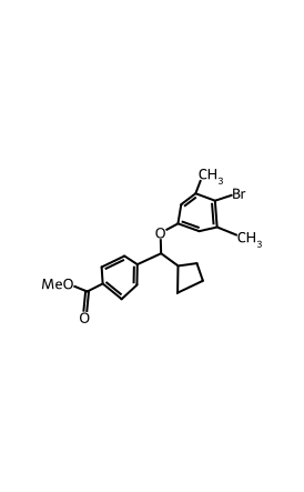 COC(=O)c1ccc(C(Oc2cc(C)c(Br)c(C)c2)C2CCC2)cc1